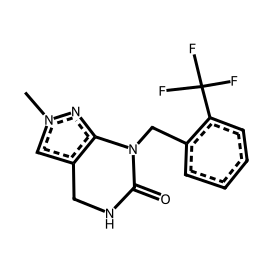 Cn1cc2c(n1)N(Cc1ccccc1C(F)(F)F)C(=O)NC2